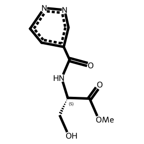 COC(=O)[C@H](CO)NC(=O)c1ccnnc1